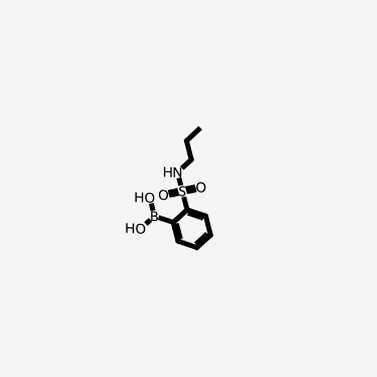 CCCNS(=O)(=O)c1ccccc1B(O)O